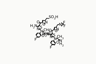 C[C@H](C(N)=O)N(c1ccc(F)cc1)c1nc(N)c(C(=O)c2cc(CCS(=O)(=O)O)no2)s1.C[C@H](C(N)=O)N(c1ccc(F)cc1)c1nc(N)c(C(=O)c2cc(CN3CC(F)(F)C3)no2)s1